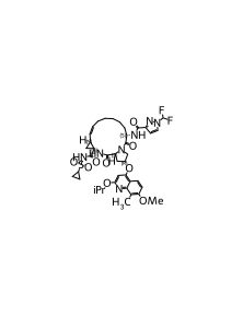 COc1ccc2c(O[C@@H]3C[C@H]4C(=O)N[C@]5(C(=O)NS(=O)(=O)C6CC6)C[C@H]5C=CCCCCC[C@H](NC(=O)c5ccn(C(F)F)n5)C(=O)N4C3)cc(OC(C)C)nc2c1C